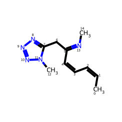 C\C=C/C=C\C(Cc1nnnn1C)=N\C